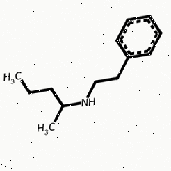 CCCC(C)NCCc1ccccc1